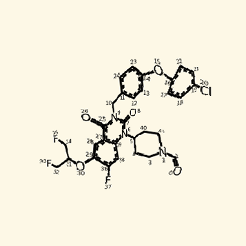 O=CN1CCC(n2c(=O)n(Cc3ccc(Oc4ccc(Cl)cc4)cc3)c(=O)c3cc(OC(CF)CF)c(F)cc32)CC1